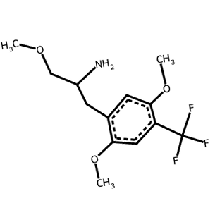 COCC(N)Cc1cc(OC)c(C(F)(F)F)cc1OC